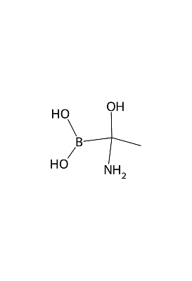 CC(N)(O)B(O)O